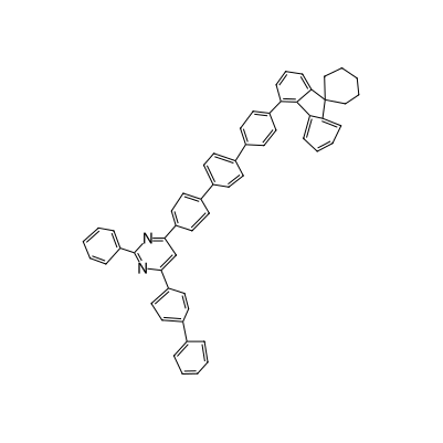 c1ccc(-c2ccc(-c3cc(-c4ccc(-c5ccc(-c6ccc(-c7cccc8c7-c7ccccc7C87CCCCC7)cc6)cc5)cc4)nc(-c4ccccc4)n3)cc2)cc1